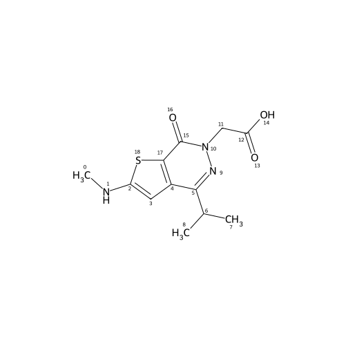 CNc1cc2c(C(C)C)nn(CC(=O)O)c(=O)c2s1